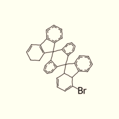 BrC1=CC=CC2C1c1ccccc1C21c2ccccc2C2(C3=C(C=CCC3)c3ccccc32)c2ccccc21